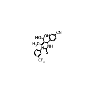 CC1=C(C(O)O)C(c2ccc(C#N)cc2)NC(=S)N1c1cccc(C(F)(F)F)c1